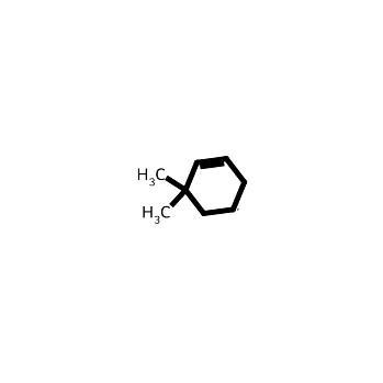 CC1(C)C=CC[CH]C1